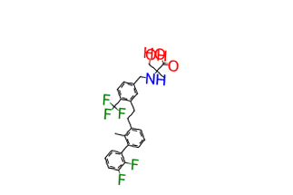 Cc1c(CCc2cc(CNC(C)(CO)C(=O)O)ccc2C(F)(F)F)cccc1-c1cccc(F)c1F